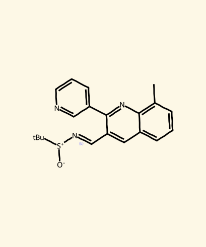 Cc1cccc2cc(/C=N/[S+]([O-])C(C)(C)C)c(-c3cccnc3)nc12